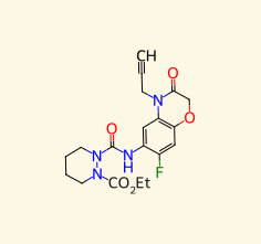 C#CCN1C(=O)COc2cc(F)c(NC(=O)N3CCCCN3C(=O)OCC)cc21